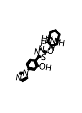 Oc1cc(-n2ccnc2)ccc1-c1nnc(O[C@H]2C[C@@H]3CCC[C@@H](N3)[C@@H]2F)s1